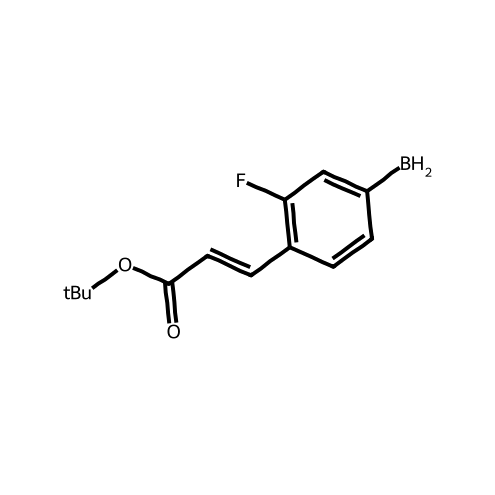 Bc1ccc(/C=C/C(=O)OC(C)(C)C)c(F)c1